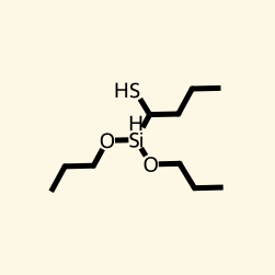 CCCO[SiH](OCCC)C(S)CCC